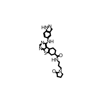 O=C(NCCCN1CCCC1=O)C1CCc2c(sc3ncnc(Nc4ccc5[nH]ncc5c4)c23)C1